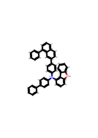 c1ccc(-c2ccc(N(c3ccc(-c4ccc5cccc(-c6ccccc6)c5c4)cc3)c3cccc4oc5ccccc5c34)cc2)cc1